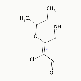 CCC(C)O/C(C=N)=C(\Cl)C=O